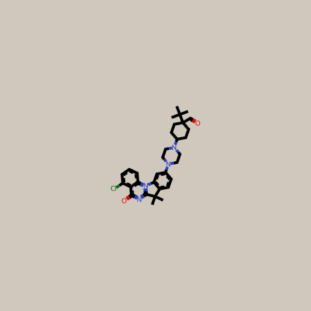 CC1(C)c2ccc(N3CCN(C4CCC(C=O)(C(C)(C)C)CC4)CC3)cc2-n2c1nc(=O)c1c(Cl)cccc12